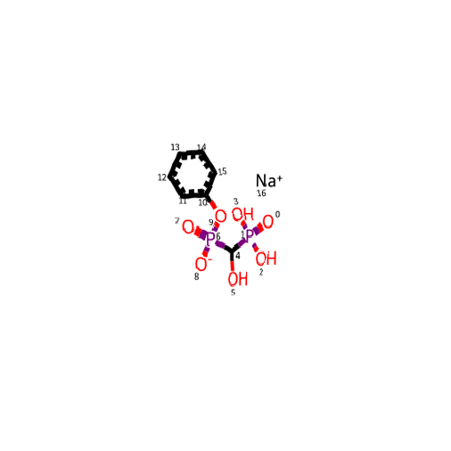 O=P(O)(O)C(O)P(=O)([O-])Oc1ccccc1.[Na+]